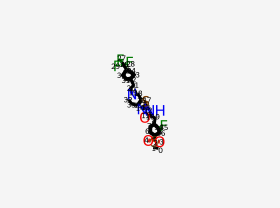 CCS(=O)(=O)c1ccc(CC(=O)Nc2nc3c(s2)CN(CCc2ccc(C(F)(F)F)cc2)CC3)c(F)c1